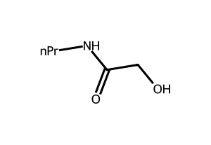 [CH2]CCNC(=O)CO